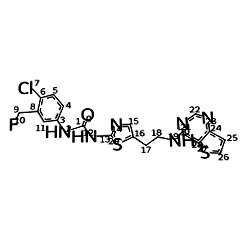 O=C(Nc1ccc(Cl)c(CF)c1)Nc1ncc(CCNc2ncnc3ccsc23)s1